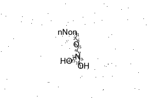 CCCCCCCCCCCCOCCCN(CCO)CCO